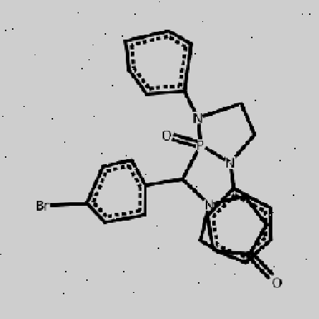 O=C1CCN(C(c2ccc(Br)cc2)P2(=O)N(c3ccccc3)CCN2c2ccccc2)CC1